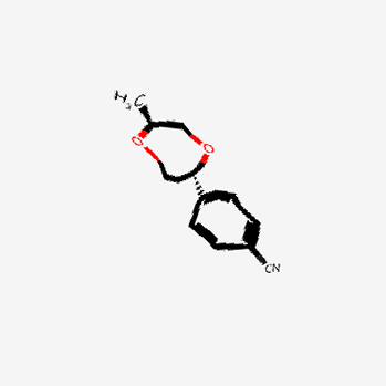 C[C@H]1CO[C@H](c2ccc(C#N)cc2)CO1